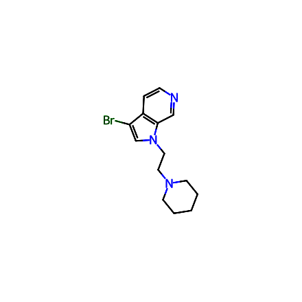 Brc1cn(CCN2CCCCC2)c2cnccc12